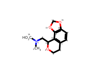 CN(CC1OCCc2ccc3c(c21)OCO3)C(=O)O